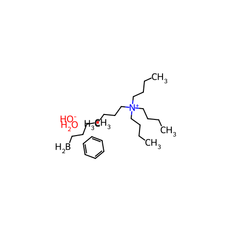 BCCCC.CCCC[N+](CCCC)(CCCC)CCCC.O.[OH-].c1ccccc1